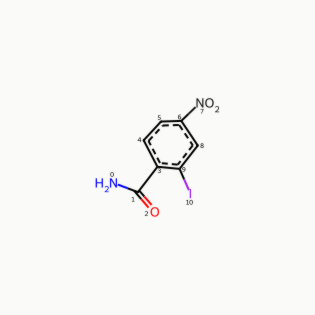 NC(=O)c1ccc([N+](=O)[O-])cc1I